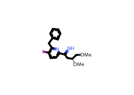 COC[C@@H](CC(=N)c1ccc(I)c(Cc2ccccc2)n1)OC